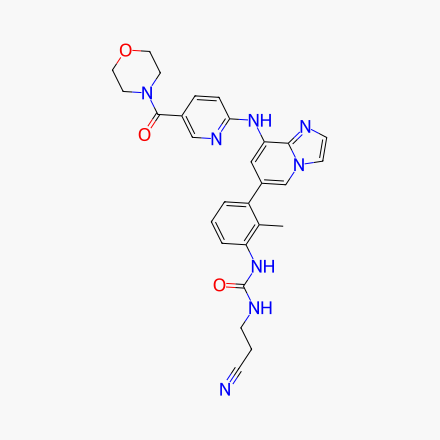 Cc1c(NC(=O)NCCC#N)cccc1-c1cc(Nc2ccc(C(=O)N3CCOCC3)cn2)c2nccn2c1